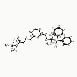 CC(C)(C)OC(=O)COC[C@H]1CCC[C@@H](CCC(C)(C)[Si](O)(c2ccccc2)c2ccccc2)C1